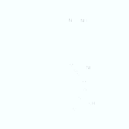 CS(=O)(=O)c1ccccc1S(=O)(=O)Nc1ccc2[nH]nc(-c3ccccc3-c3ccccc3)c2c1